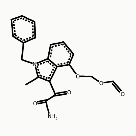 Cc1c(C(=O)C(N)=O)c2c(OCOC=O)cccc2n1Cc1ccccc1